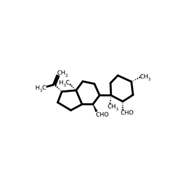 C=C(C)[C@H]1CCC2[C@H](C=O)C([C@@]3(C)CC[C@H](C)C[C@@H]3C=O)CC[C@@]21C